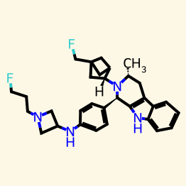 C[C@@H]1Cc2c([nH]c3ccccc23)[C@@H](c2ccc(NC3CN(CCCF)C3)cc2)N1[C@@H]1CC2(CF)CC1C2